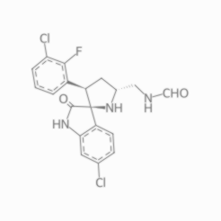 O=CNC[C@H]1C[C@H](c2cccc(Cl)c2F)[C@@]2(N1)C(=O)Nc1cc(Cl)ccc12